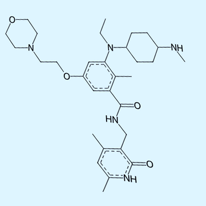 CCN(c1cc(OCCN2CCOCC2)cc(C(=O)NCc2c(C)cc(C)[nH]c2=O)c1C)C1CCC(NC)CC1